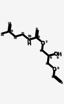 C=COCC(O)COC(=C)NCCC(=C)C